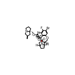 C=C1CN2CCC[C@@]2(COc2nc3c4c(cc(Br)c(F)c4n2)OC[C@@H]2[C@@H]4CC[C@H](CN32)N4C(=O)OC(C)(C)C)C1